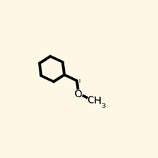 CO[C]C1CCCCC1